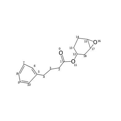 O=C(CCCc1ccccc1)OC1CCC2OC2C1